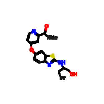 CNC(=O)c1cc(Oc2ccc3nc(NC(CO)CC(C)C)sc3c2)ccn1